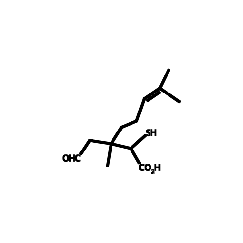 CC(C)=CCCC(C)(CC=O)C(S)C(=O)O